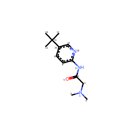 CN(C)CC(=O)Nc1ccc(C(C)(C)C)cn1